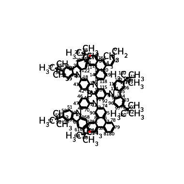 C=C/C=C\c1c(C)c2ccccc2c2cc(N3c4cc(-n5c6ccc(C(C)(C)C)cc6c6cc(C(C)(C)C)ccc65)ccc4B4c5ccc(-n6c7ccc(C(C)(C)C)cc7c7cc(C(C)(C)C)ccc76)cc5N(c5ccc6c7ccccc7c7ccccc7c6c5)c5cc(-n6c7ccc(C(C)(C)C)cc7c7cc(C(C)(C)C)ccc76)cc3c54)ccc12